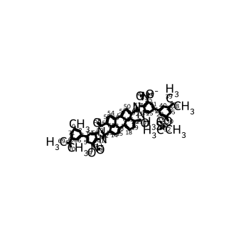 Cc1cc(-c2cc([N+](=O)[O-])c3nc4c5ccc6c7ccc8c(=O)n9c%10cc(-c%11cc(O[Si](C)(C)C)cc(C(C)C)c%11)cc([N+](=O)[O-])c%10nc9c9ccc(c%10ccc(c(=O)n4c3c2)c5c6%10)c7c89)cc(C(C)C)c1